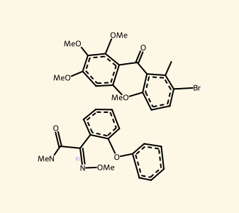 CNC(=O)/C(=N/OC)c1ccccc1Oc1ccccc1.COc1cc(C)c(C(=O)c2c(OC)ccc(Br)c2C)c(OC)c1OC